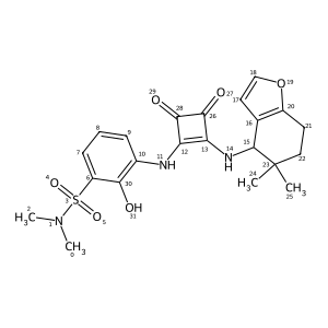 CN(C)S(=O)(=O)c1cccc(Nc2c(NC3c4ccoc4CCC3(C)C)c(=O)c2=O)c1O